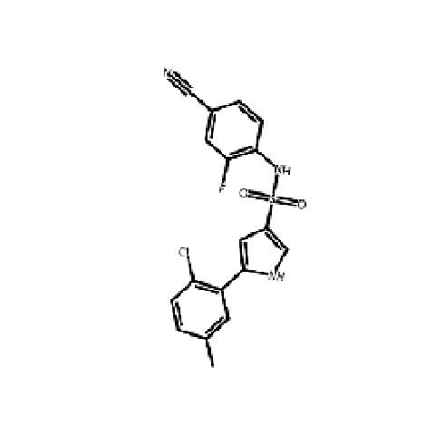 Cc1ccc(Cl)c(-c2cc(S(=O)(=O)Nc3ccc(C#N)cc3F)c[nH]2)c1